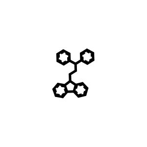 c1ccc(C(CCC2c3ccccc3-c3ccccc32)c2ccccc2)cc1